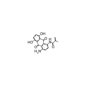 C=C(C)C(=O)Nc1ccc(N)c2c1C(=O)c1c(O)ccc(O)c1C2=O